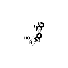 Cc1oc2ccc(OCc3cccnc3C(F)F)cc2c1C(=O)O